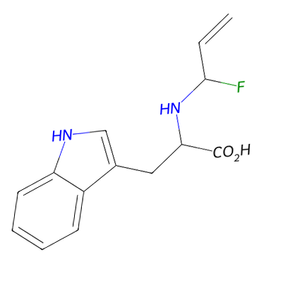 C=CC(F)NC(Cc1c[nH]c2ccccc12)C(=O)O